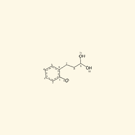 [O]c1ccccc1CCC(O)O